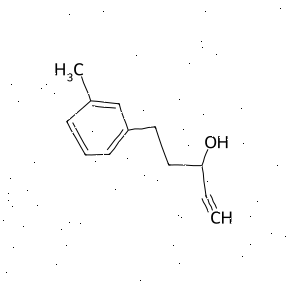 C#CC(O)CCc1cccc(C)c1